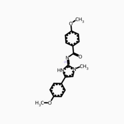 COc1ccc(C(=O)/N=c2/[nH]c(-c3ccc(OC)cc3)cn2C)cc1